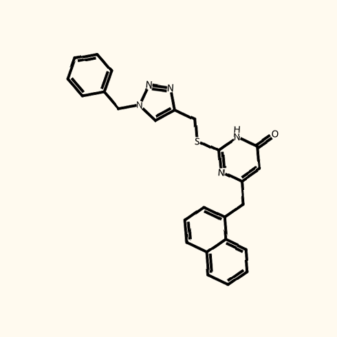 O=c1cc(Cc2cccc3ccccc23)nc(SCc2cn(Cc3ccccc3)nn2)[nH]1